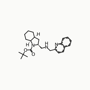 CC(C)(C)OC(=O)N1[C@H](CNCc2ccc3ccccc3n2)C[C@@H]2CCCC[C@@H]21